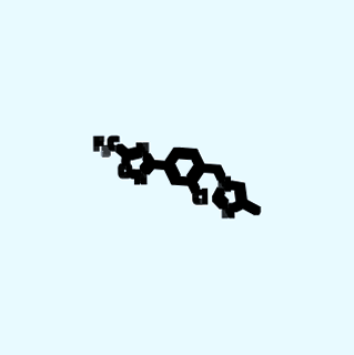 Cc1cn(Cc2ccc(-c3noc(C(F)(F)F)n3)cc2Cl)cn1